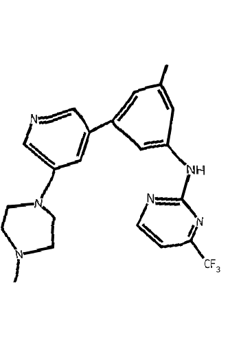 Cc1cc(Nc2nccc(C(F)(F)F)n2)cc(-c2cncc(N3CCN(C)CC3)c2)c1